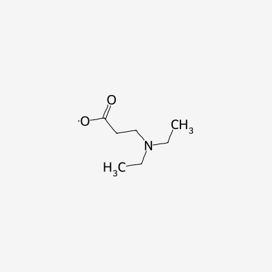 CCN(CC)CCC([O])=O